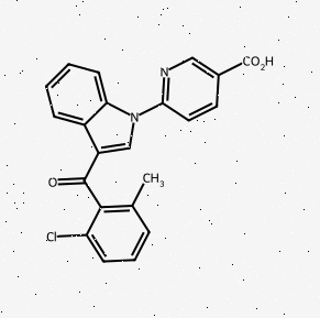 Cc1cccc(Cl)c1C(=O)c1cn(-c2ccc(C(=O)O)cn2)c2ccccc12